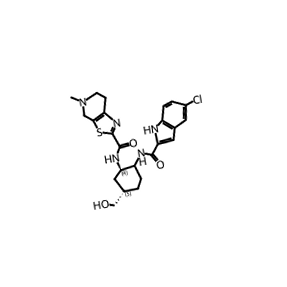 CN1CCc2nc(C(=O)N[C@@H]3C[C@@H](CO)CCC3NC(=O)c3cc4cc(Cl)ccc4[nH]3)sc2C1